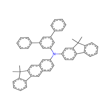 CC1(C)c2ccccc2-c2ccc(N(c3cc(-c4ccccc4)cc(-c4ccccc4)c3)c3ccc4cc5c(cc4c3)C(C)(C)c3ccccc3-5)cc21